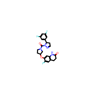 O=C1CCc2cc(F)c(OC3CCN(C(=O)N4N=CCC4c4cc(F)cc(F)c4)C3)cc2N1